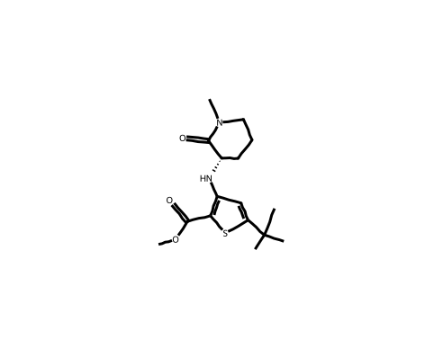 COC(=O)c1sc(C(C)(C)C)cc1N[C@H]1CCCN(C)C1=O